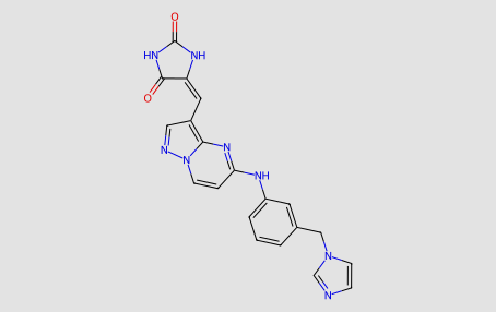 O=C1NC(=O)/C(=C\c2cnn3ccc(Nc4cccc(Cn5ccnc5)c4)nc23)N1